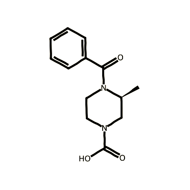 C[C@H]1CN(C(=O)O)CCN1C(=O)c1ccccc1